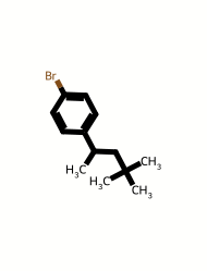 CC(CC(C)(C)C)c1ccc(Br)cc1